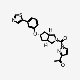 CC(=O)c1ccn(C(=O)N2C[C@H]3C[C@H](Oc4cccc(-c5cncs5)c4)C[C@H]3C2)n1